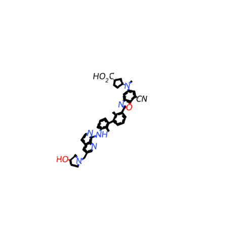 Cc1c(Nc2nccc3cc(CN4CC[C@@H](O)C4)cnc23)cccc1-c1cccc(-c2nc3cc(N(C)[C@H]4CC[C@H](C(=O)O)C4)cc(C#N)c3o2)c1C